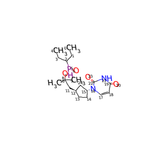 CCC(CC)[PH](=O)OC(C)(C)C[C@@H]1CC[C@@H](n2ccc(=O)[nH]c2=O)C1